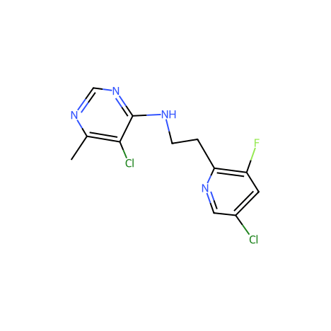 Cc1ncnc(NCCc2ncc(Cl)cc2F)c1Cl